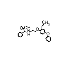 CCCc1cc(Oc2ccccc2)ccc1OCCCNCC(C(=O)O)c1ccccc1